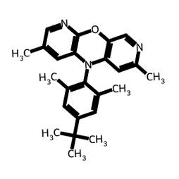 Cc1cnc2c(c1)N(c1c(C)cc(C(C)(C)C)cc1C)c1cc(C)ncc1O2